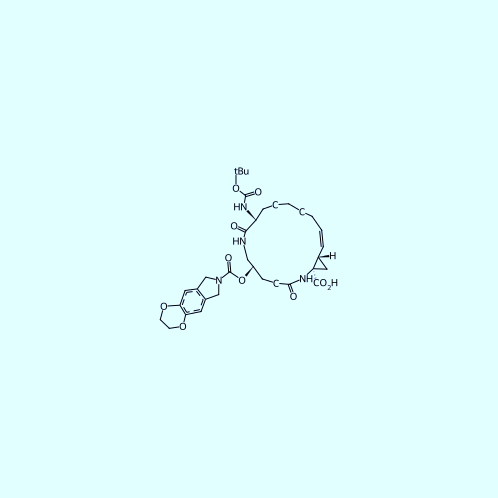 CC(C)(C)OC(=O)N[C@H]1CCCCC/C=C\[C@@H]2C[C@@]2(C(=O)O)NC(=O)CC[C@@H](OC(=O)N2Cc3cc4c(cc3C2)OCCO4)CNC1=O